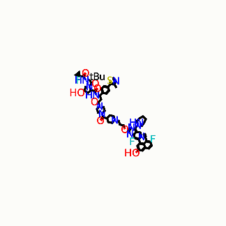 C#Cc1c(F)ccc2cc(O)cc(-c3ncc4c(N5CC6CCC(C5)N6)nc(OCCCN5CCC(C(=O)N6CCN(C(=O)CC(NC(=O)C7CC(O)CN7C(=O)C(NC(=O)C7(F)CC7)C(C)(C)C)c7ccc(-c8scnc8C)cc7)CC6)CC5)nc4c3F)c12